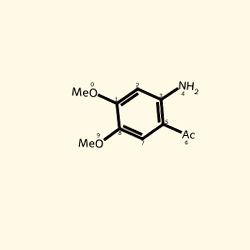 COc1cc(N)c(C(C)=O)cc1OC